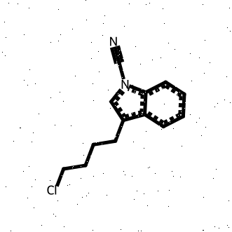 N#Cn1cc(CCCCCl)c2ccccc21